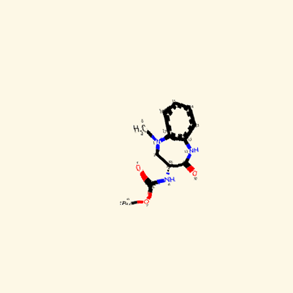 CN1C[C@@H](NC(=O)OC(C)(C)C)C(=O)Nc2ccccc21